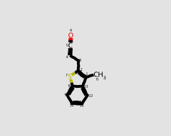 Cc1c(CC=C=O)sc2ccccc12